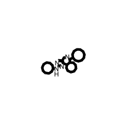 c1nc(NC2CCCCCCCCC2)nc2c1CN=C(C1CCCCCCCCCC1)C1CCCCCCCC21